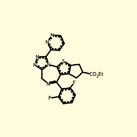 CCOC(=O)C1Cc2sc3c(c2C1)C(c1c(F)cccc1F)=NCc1nnc(-c2cccnn2)n1-3